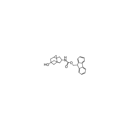 O=C(NC1CC23CC2CC2(O)CC1C3C2)OCC1c2ccccc2-c2ccccc21